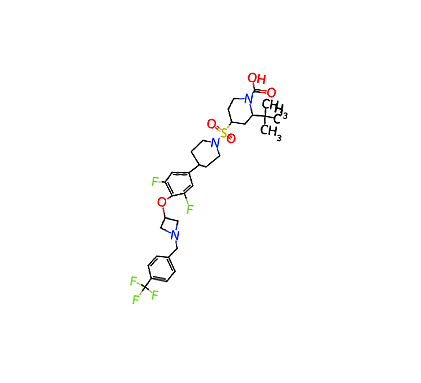 CC(C)(C)C1CC(S(=O)(=O)N2CCC(c3cc(F)c(OC4CN(Cc5ccc(C(F)(F)F)cc5)C4)c(F)c3)CC2)CCN1C(=O)O